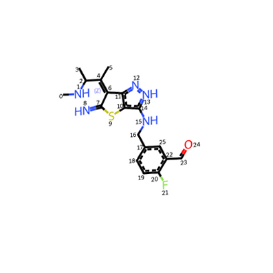 CNC(C)/C(C)=C1\C(=N)Sc2c1n[nH]c2NCc1ccc(F)c(C=O)c1